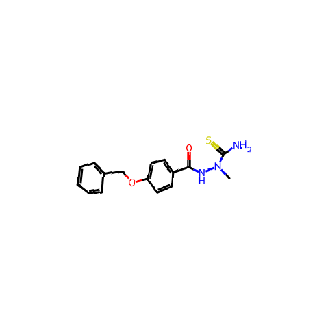 CN(NC(=O)c1ccc(OCc2ccccc2)cc1)C(N)=S